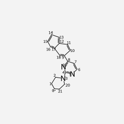 [C]1CCN(c2nccc(-c3ccc4ccccc4c3)n2)CC1